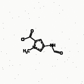 Cn1cc(NC=O)cc1C(=O)Cl